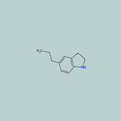 [CH2]CCc1ccc2c(c1)CCN2